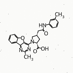 Cc1cccc(NC(=O)C[C@H]2C[C@@H](C(=O)O)N(c3nc(C)nc4c3oc3ccccc34)C2)c1